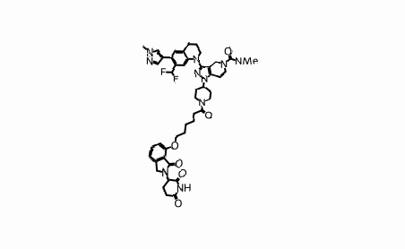 CNC(=O)N1CCc2c(c(N3CCCc4cc(-c5cnn(C)c5)c(C(F)F)cc43)nn2C2CCN(C(=O)CCCCCOc3cccc4c3C(=O)N(C3CCC(=O)NC3=O)C4)CC2)C1